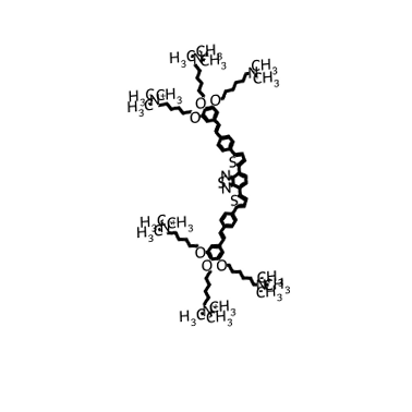 CN(C)CCCCCCOc1cc(/C=C/c2ccc(-c3ccc(-c4ccc(-c5ccc(-c6ccc(/C=C/c7cc(OCCCCCC[N+](C)(C)C)c(OCCCCCC[N+](C)(C)C)c(OCCCCCC[N+](C)(C)C)c7)cc6)s5)c5nsnc45)s3)cc2)cc(OCCCCCC[N+](C)(C)C)c1OCCCCCC[N+](C)(C)C